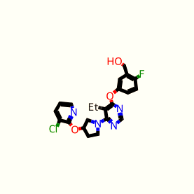 CCc1c(Oc2ccc(F)c(CO)c2)ncnc1N1CCC(Oc2ncccc2Cl)C1